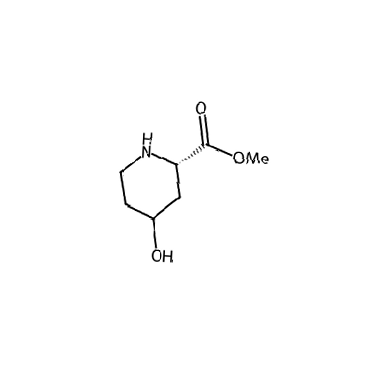 COC(=O)[C@@H]1CC(O)CCN1